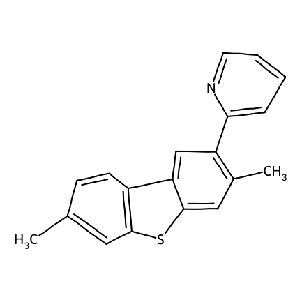 Cc1ccc2c(c1)sc1cc(C)c(-c3ccccn3)cc12